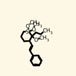 CCCC1(OC)C(C=Cc2ccccc2)CCC[Si]1(OC)OC